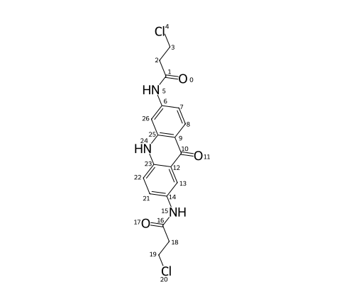 O=C(CCCl)Nc1ccc2c(=O)c3cc(NC(=O)CCCl)ccc3[nH]c2c1